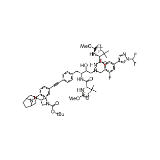 COC(=O)N[C@H](C(=O)N[C@@H](Cc1ccc(C#Cc2ccc(N3CC4CCC(C3)N4CC3CN(C(=O)OC(C)(C)C)C3)nc2)cc1)[C@@H](O)CN(Cc1c(F)cc(-c2cnn(C(F)F)c2)cc1F)NC(=O)[C@@H](NC(=O)OC)C(C)(C)C(F)(F)F)C(C)(C)C(F)(F)F